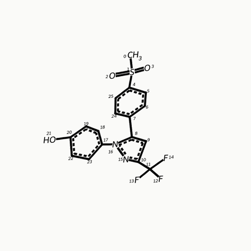 CS(=O)(=O)c1ccc(-c2cc(C(F)(F)F)nn2-c2ccc(O)cc2)cc1